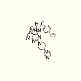 Cc1ccc(C(C)C)cc1Nc1nc(N2CCC(n3ccnc3)CC2)nc2ncn(C)c12